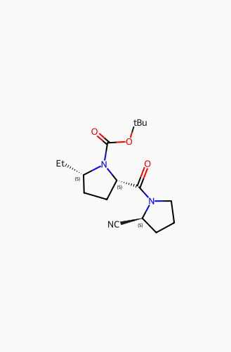 CC[C@H]1CC[C@@H](C(=O)N2CCC[C@H]2C#N)N1C(=O)OC(C)(C)C